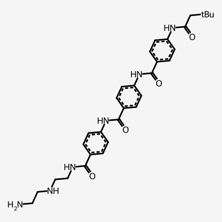 CC(C)(C)CC(=O)Nc1ccc(C(=O)Nc2ccc(C(=O)Nc3ccc(C(=O)NCCNCCN)cc3)cc2)cc1